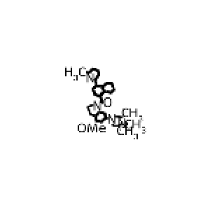 COc1cc2c(cc1N1C[C@@H](C)N(C)[C@@H](C)C1)N(C(=O)c1ccc(-c3cccc(C)n3)c3ccccc13)CCC2